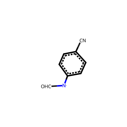 N#Cc1ccc([N]C=O)cc1